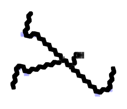 CCCCC/C=C\C/C=C\CCCCCCCCN(CCO)CCN(CCCCCCCC/C=C\C/C=C\CCCCC)CCCCCCCC/C=C\C/C=C\CCCCC